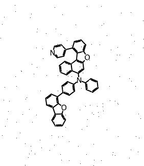 c1ccc(N(c2ccc(-c3cccc4c3oc3ccccc34)cc2)c2cc3oc4cccc(-c5ccncc5)c4c3c3ccccc23)cc1